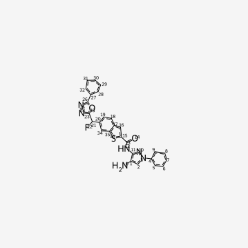 Nc1cn(-c2ccccc2)nc1NC(=O)c1cc2ccc(C(F)c3nnc(-c4ccccc4)o3)cc2s1